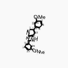 COc1cccc(-c2cnc3nc(-c4cccc(OC)c4)[nH]c3c2)c1